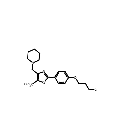 CCOC(=O)c1oc(-c2ccc(OCCCCl)cc2)nc1CN1CCCCC1